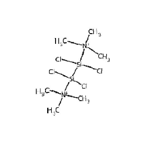 C[N+](C)(C)[Si](Cl)(Cl)[Si](Cl)(Cl)[N+](C)(C)C